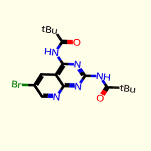 CC(C)(C)C(=O)Nc1nc(NC(=O)C(C)(C)C)c2cc(Br)cnc2n1